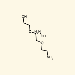 NCCOCCOCCO.NO